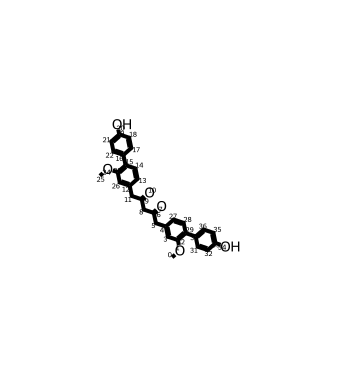 COc1cc(CC(=O)CC(=O)Cc2ccc(-c3ccc(O)cc3)c(OC)c2)ccc1-c1ccc(O)cc1